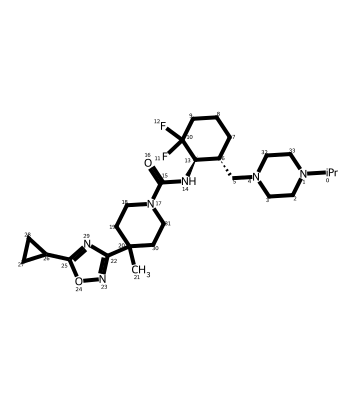 CC(C)N1CCN(C[C@H]2CCCC(F)(F)[C@@H]2NC(=O)N2CCC(C)(c3noc(C4CC4)n3)CC2)CC1